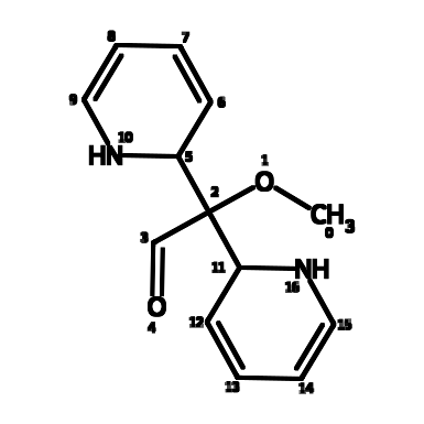 COC(C=O)(C1C=CC=CN1)C1C=CC=CN1